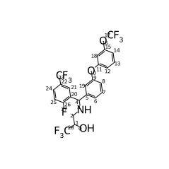 OC(CNC(c1cccc(Oc2cccc(OC(F)(F)F)c2)c1)c1cc(C(F)(F)F)ccc1F)C(F)(F)F